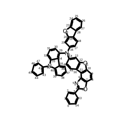 c1ccc(-c2nc3c(ccc4oc5cc(N(c6ccc7c(c6)oc6ccccc67)c6cccc7c6c6ccccc6n7-c6ccccc6)ccc5c43)o2)cc1